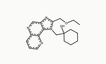 CCOCc1nc2cnc3cccnc3c2n1CC1(O)CCCCC1